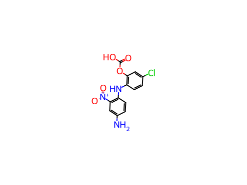 Nc1ccc(Nc2ccc(Cl)cc2OC(=O)O)c([N+](=O)[O-])c1